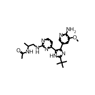 COc1cc(-c2nc(C(C)(C)C)[nH]c2-c2ccnc(NCC(C)NC(C)=O)n2)cnc1N